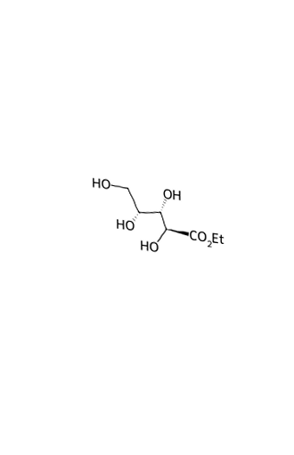 CCOC(=O)[C@@H](O)[C@@H](O)[C@H](O)CO